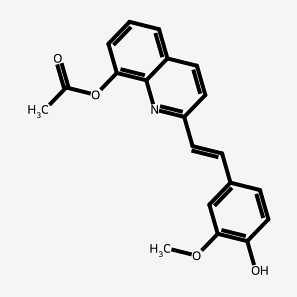 COc1cc(/C=C/c2ccc3cccc(OC(C)=O)c3n2)ccc1O